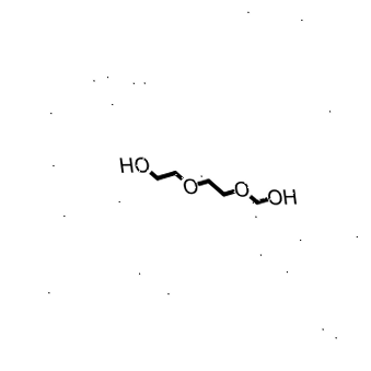 OCCOCCOCO